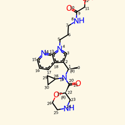 C[C@H](c1cn(CCCNC(=O)CO)c2ncccc12)N(C(=O)[C@H]1CNCCO1)C1CC1